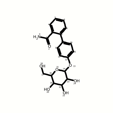 NC(=O)c1ccccc1-c1ccc(OC2OC(CO)C(O)C(O)C2O)cc1